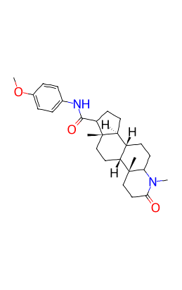 COc1ccc(NC(=O)C2CC[C@H]3[C@@H]4CCC5N(C)C(=O)CC[C@]5(C)[C@@H]4CC[C@]23C)cc1